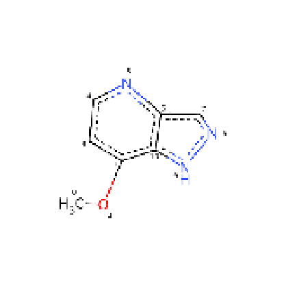 COc1ccnc2cn[nH]c12